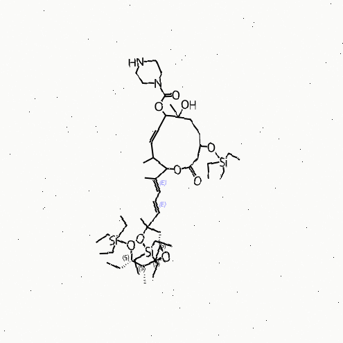 CC[C@H](O[Si](CC)(CC)CC)[C@@H](C)[C@@H]1O[C@H]1CC(C)(/C=C/C=C(\C)C1OC(=O)CC(O[Si](CC)(CC)CC)CCC(C)(O)C(OC(=O)N2CCNCC2)C=CC1C)O[Si](CC)(CC)CC